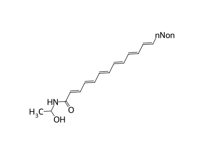 CCCCCCCCCC=CC=CC=CC=CC=CC=CC(=O)NC(C)O